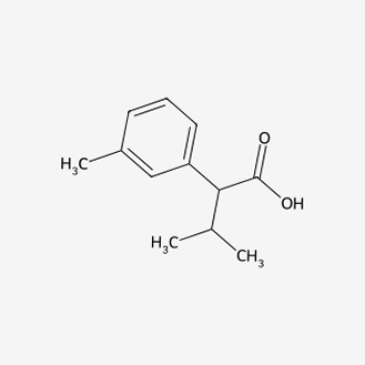 Cc1cccc(C(C(=O)O)C(C)C)c1